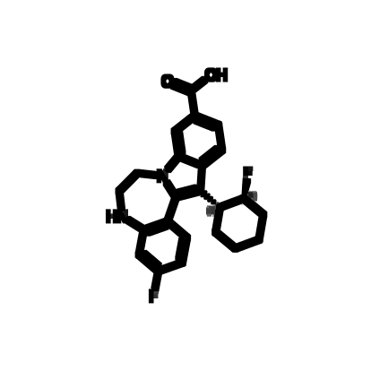 O=C(O)c1ccc2c([C@H]3CCCC[C@@H]3F)c3n(c2c1)CCNc1cc(F)ccc1-3